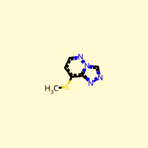 CSc1ccnn2cnnc12